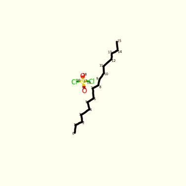 CCCCCCCCCCCCCCCC.O=S(=O)(Cl)Cl